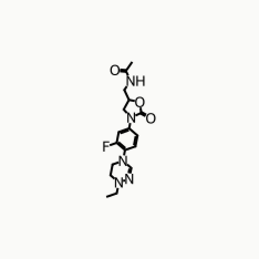 CCN1CCN(c2ccc(N3CC(CNC(C)=O)OC3=O)cc2F)C=N1